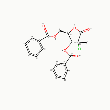 C[C@]1(Cl)C(=O)O[C@H](COC(=O)c2ccccc2)C1OC(=O)c1ccccc1